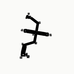 C=CCS(=O)(=O)CC(C)=O